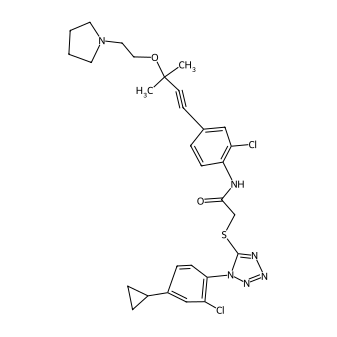 CC(C)(C#Cc1ccc(NC(=O)CSc2nnnn2-c2ccc(C3CC3)cc2Cl)c(Cl)c1)OCCN1CCCC1